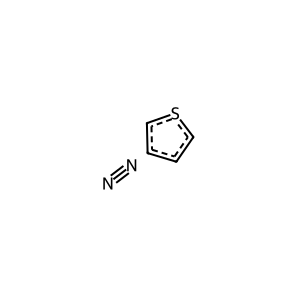 N#N.c1ccsc1